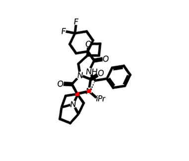 CC(C)N1C(=O)N(CC2CCO2)C(=O)C12CC1CCC(C2)N1CC[C@H](NC(=O)C1CCC(F)(F)CC1)c1ccccc1